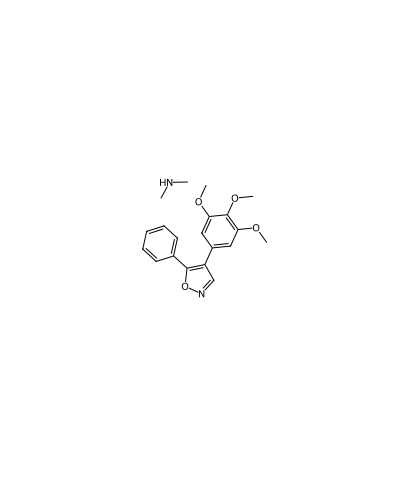 CNC.COc1cc(-c2cnoc2-c2ccccc2)cc(OC)c1OC